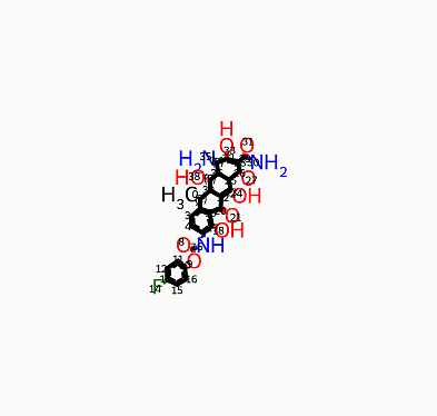 C[C@H]1c2ccc(NC(=O)Oc3ccc(F)cc3)c(O)c2C(=O)C2=C(O)C3C(=O)C(C(N)=O)=C(O)[C@@H](N)C3[C@@H](O)C21